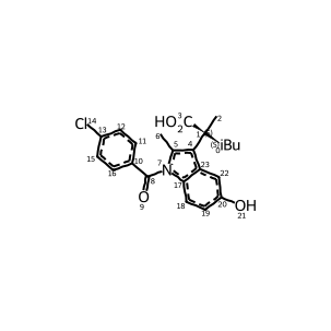 CC[C@H](C)[C@](C)(C(=O)O)c1c(C)n(C(=O)c2ccc(Cl)cc2)c2ccc(O)cc12